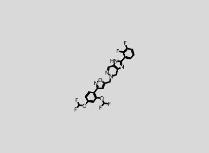 Fc1cccc(-c2nc3c([nH]2)C=NN(Cc2cc(-c4ccc(OC(F)F)cc4OC(F)F)no2)C3)c1F